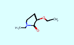 CCOC1CCN(CC)C1=O